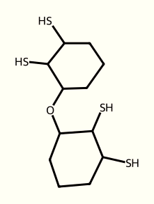 SC1CCCC(OC2CCCC(S)C2S)C1S